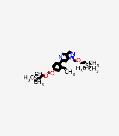 CCc1cc(OCOCC[Si](C)(C)C)ccc1-c1cc2c(cn1)cnn2COCC[Si](C)(C)C